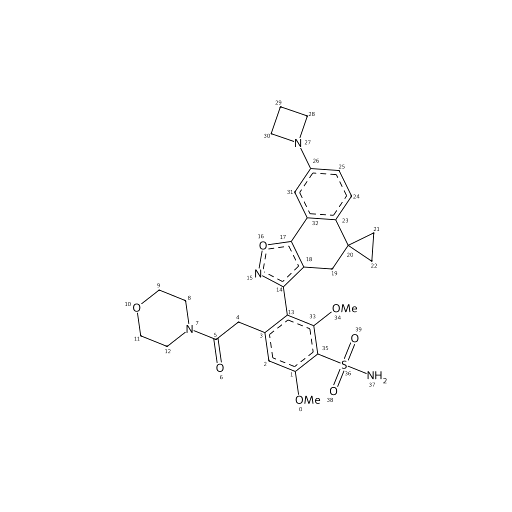 COc1cc(CC(=O)N2CCOCC2)c(-c2noc3c2CC2(CC2)c2ccc(N4CCC4)cc2-3)c(OC)c1S(N)(=O)=O